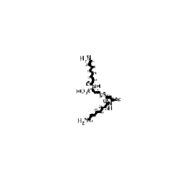 CC(=O)C(CCSSCCC(NC(=O)CCCCCCCN)C(=O)O)NC(=O)CCCCCCCN